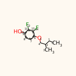 CCC(C)COc1ccc(O)c(F)c1F